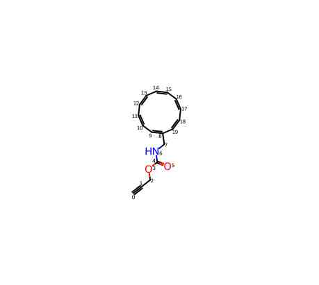 C#CCOC(=O)NCC1=C/C=C\C=C/C=C\C=C/C=C\1